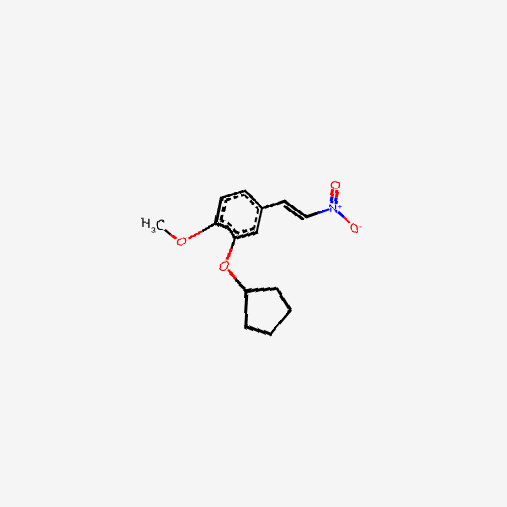 COc1ccc(C=C[N+](=O)[O-])cc1OC1CCCC1